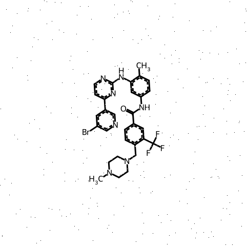 Cc1ccc(NC(=O)c2ccc(CN3CCN(C)CC3)c(C(F)(F)F)c2)cc1Nc1nccc(-c2cncc(Br)c2)n1